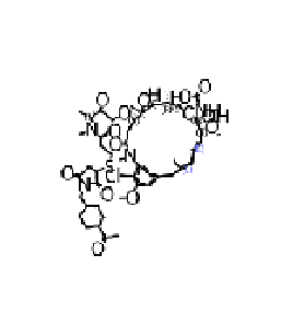 COc1cc2cc(c1Cl)N(C)C(=O)C[C@H](OCC(=O)[C@H](C)N(C)C(=O)CCSC1CC(=O)N(CC3CCC(C(C)=O)CC3)C1=O)[C@]1(C)O[C@H]1[C@H](C)[C@@H]1C[C@@](O)(NC(=O)O1)[C@H](OC)/C=C/C=C(\C)C2